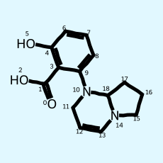 O=C(O)c1c(O)cccc1N1CC=CN2CCCC21